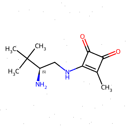 Cc1c(NC[C@@H](N)C(C)(C)C)c(=O)c1=O